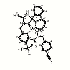 CN(Cc1ccc(C#N)cc1)C(=O)c1cc(CN2C(=N)NC(c3ccccc3)(c3ccccc3)C2=O)ccc1C(F)(F)F